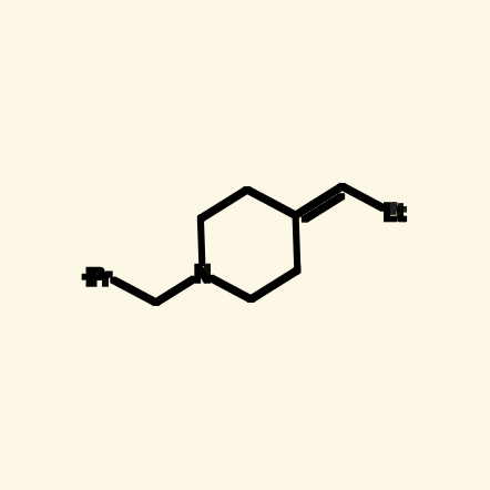 CCC=C1CCN(C[C](C)C)CC1